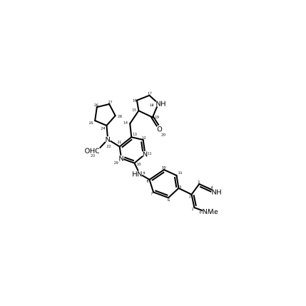 CN/C=C(\C=N)c1ccc(Nc2ncc(CC3CCNC3=O)c(N(C=O)C3CCCC3)n2)cc1